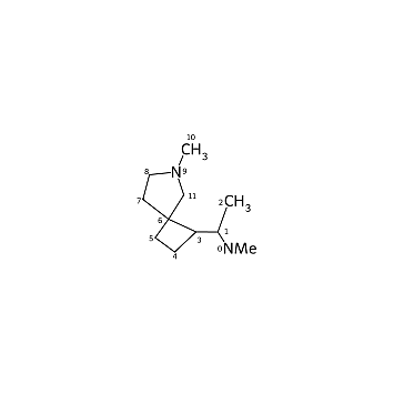 CNC(C)C1CCC12CCN(C)C2